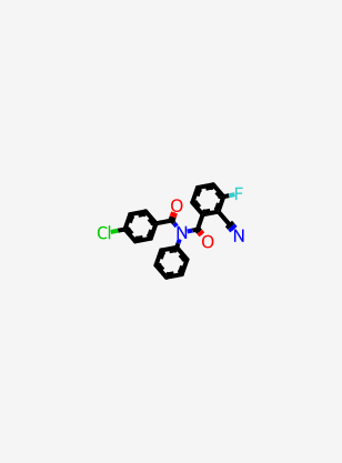 N#Cc1c(F)cccc1C(=O)N(C(=O)c1ccc(Cl)cc1)c1ccccc1